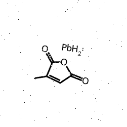 CC1=CC(=O)OC1=O.[PbH2]